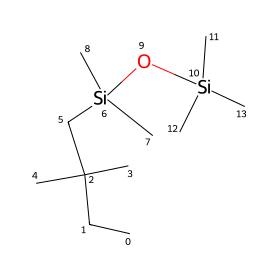 CCC(C)(C)C[Si](C)(C)O[Si](C)(C)C